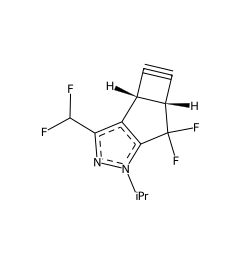 CC(C)n1nc(C(F)F)c2c1C(F)(F)[C@H]1C#C[C@@H]21